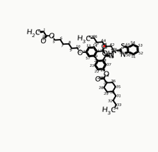 C=CC(=O)OCCCCCCOc1ccc(C(=O)O)c(-c2ccc(OC(=O)C3CCC(CCCC)CC3)cc2/C=N/N(CCCCCC)c2nc3ccccc3s2)c1